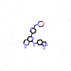 C1=Cc2cc(-c3ccc(CN4CCOCC4)nc3)nc(Nc3ccc4cn[nH]c4c3)c2CN1